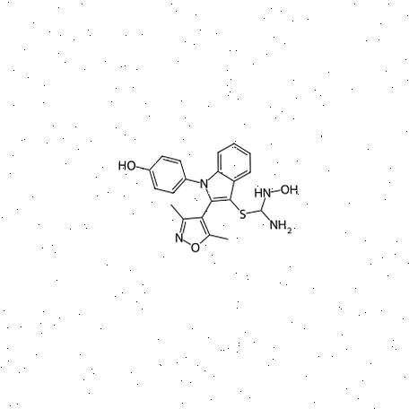 Cc1noc(C)c1-c1c(SC(N)NO)c2ccccc2n1-c1ccc(O)cc1